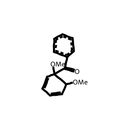 COC1C=CC=CC1(OC)C(=O)c1ccccc1